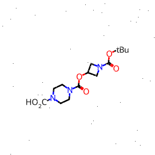 CC(C)(C)OC(=O)N1CC(OC(=O)N2CCN(C(=O)O)CC2)C1